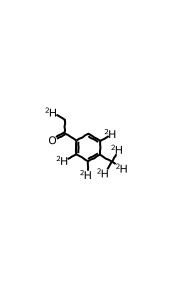 [2H]CC(=O)c1cc([2H])c(C([2H])([2H])[2H])c([2H])c1[2H]